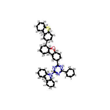 c1ccc(-c2nc(-c3ccc4oc5c(-c6ccc7sc8ccccc8c7c6)cccc5c4c3)nc(-n3c4ccccc4c4ccccc43)n2)cc1